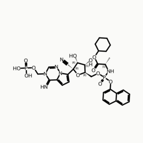 C[C@H](NP(=O)(OC[C@H]1O[C@@](C#N)(c2ccc3c(=N)n(COP(=O)(O)O)cnn23)[C@H](O)[C@@H]1O)Oc1cccc2ccccc12)C(=O)OC1CCCCC1